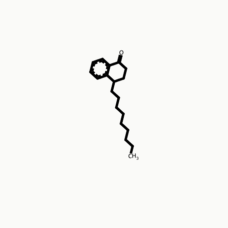 CCCCCCCCCC1CCC(=O)c2ccccc21